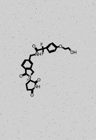 O=C1CC[C@@H](N2Cc3cc(CNC(=O)C(F)(F)c4ccc(OCCO)cc4)ccc3C2=O)C(=O)N1